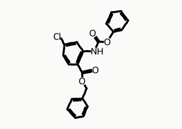 O=C(Nc1cc(Cl)ccc1C(=O)OCc1ccccc1)Oc1ccccc1